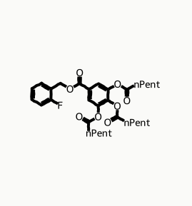 CCCCCC(=O)Oc1cc(C(=O)OCc2ccccc2F)cc(OC(=O)CCCCC)c1OC(=O)CCCCC